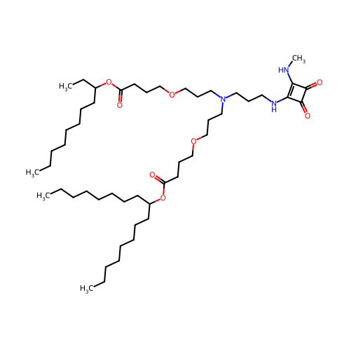 CCCCCCCCC(CC)OC(=O)CCCOCCCN(CCCNc1c(NC)c(=O)c1=O)CCCOCCCC(=O)OC(CCCCCCCC)CCCCCCCC